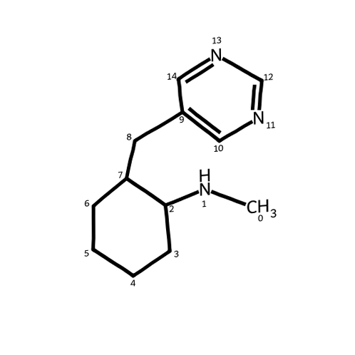 CNC1CCCCC1Cc1cncnc1